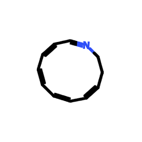 C1=CC=CC=NCCC=CC=C1